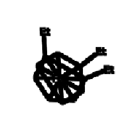 CC[C]12[CH]3[CH]4[CH]5[CH]1[Fe]45321678[CH]2[CH]1[C]6(CC)[C]7(CC)[CH]28